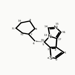 c1cc2c(s1)[C@H](CC1CCCCC1)n1cncc1-2